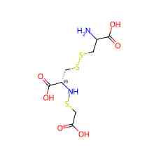 NC(CSSC[C@H](NSCC(=O)O)C(=O)O)C(=O)O